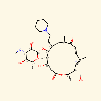 CC[C@H]1OC(=O)C[C@@H](O)[C@H](C)[C@@H](O[C@@H]2O[C@H](C)[C@@H](O)[C@H](N(C)C)[C@H]2O)[C@@H](CCN2CCCCC2)C[C@@H](C)C(=O)/C=C/C(C)=C/[C@@H]1CO